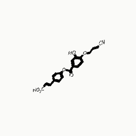 N#CCCCOc1ccc(C(=O)Oc2ccc(/C=C/C(=O)O)cc2)cc1O